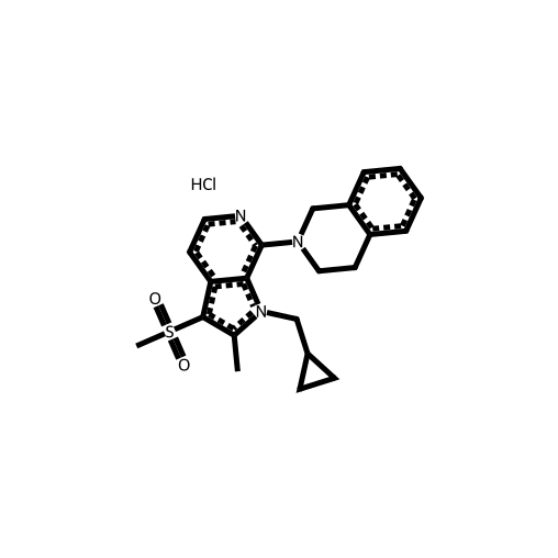 Cc1c(S(C)(=O)=O)c2ccnc(N3CCc4ccccc4C3)c2n1CC1CC1.Cl